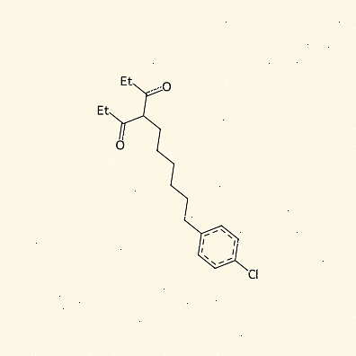 CCC(=O)C(CCCCCCc1ccc(Cl)cc1)C(=O)CC